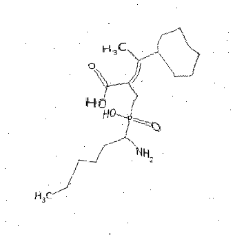 CCCCCC(N)P(=O)(O)C/C(C(=O)O)=C(/C)C1CCCCC1